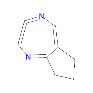 C1=CN=C2CCCC2=CN=1